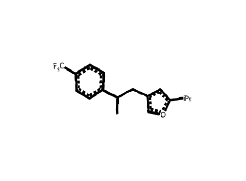 CC(C)c1cc(CC(C)c2ccc(C(F)(F)F)cc2)co1